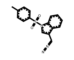 Cc1ccc(S(=O)(=O)n2cc(C=[N+]=[N-])c3ccccc32)cc1